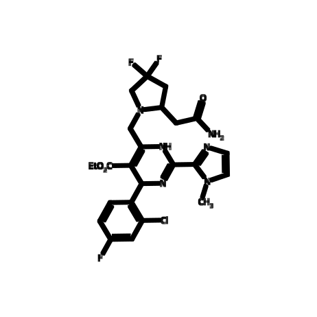 CCOC(=O)C1=C(CN2CC(F)(F)CC2CC(N)=O)NC(c2nccn2C)=NC1c1ccc(F)cc1Cl